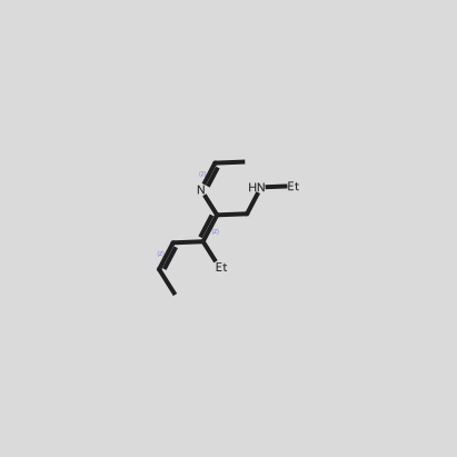 C\C=C/C(CC)=C(CNCC)\N=C/C